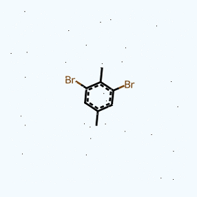 Cc1cc(Br)c(C)c(Br)c1